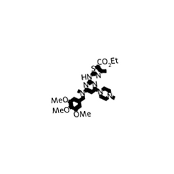 CCOC(=O)c1sc(Nc2nc(N(C)Cc3cc(OC)c(OC)c(OC)c3)cc(N3CCN(C)CC3)n2)nc1C